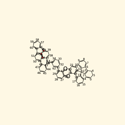 C1=CC2=C(CC1)c1ccccc1C21c2ccccc2-c2c1ccc1c2Oc2cccc(-c3cccc(N(c4ccccc4)c4ccccc4-c4ccc5c(c4)sc4ccccc45)c3)c2O1